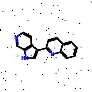 c1ccc2nc(-c3c[nH]c4cnccc34)ccc2c1